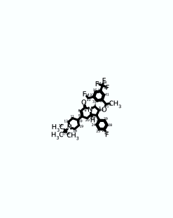 CC(O[C@H]1CN2C(=O)C=C(C3CCN(C(C)(C)C)CC3)C[C@H]2C1c1ccc(F)cc1)c1cc(CF)cc(C(F)(F)F)c1